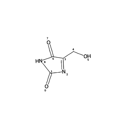 O=C1N=C(CO)C(=O)N1